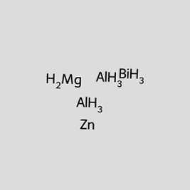 [AlH3].[AlH3].[BiH3].[MgH2].[Zn]